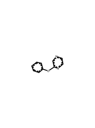 [c]1cnc(Oc2ccccc2)cn1